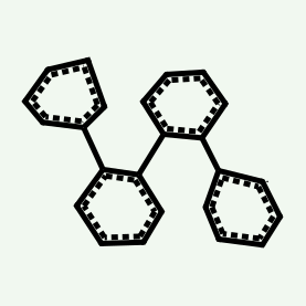 [c]1ccccc1-c1ccccc1-c1ccccc1-c1ccccc1